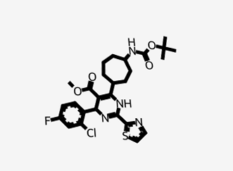 COC(=O)C1=C(C2CCCC(NC(=O)OC(C)(C)C)CC2)NC(c2nccs2)=NC1c1ccc(F)cc1Cl